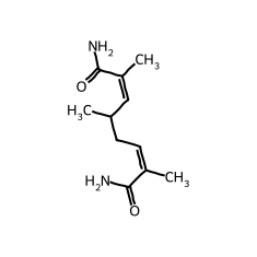 CC(=CCC(C)C=C(C)C(N)=O)C(N)=O